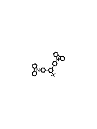 CC(C)(C)c1cc(-c2ccc(-n3c4ccccc4c4ccccc43)cc2)cc(-c2ccc(-n3c4ccccc4c4ccccc43)cc2)c1